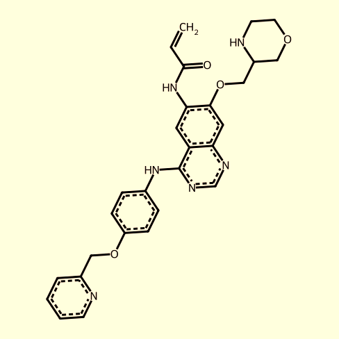 C=CC(=O)Nc1cc2c(Nc3ccc(OCc4ccccn4)cc3)ncnc2cc1OCC1COCCN1